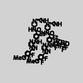 CCc1cc(Nc2nccn3c(-c4ccc(OC)c(F)c4F)cnc23)ccc1C(=O)NC1CC[N+](C)(CC2CNC2)CC1.CCc1cc(Nc2nccn3c(-c4ccc(OC)c(F)c4F)cnc23)ccc1C(=O)NC1CC[N+](C)(CC2CNC2)CC1.O=C([O-])C(F)(F)F.O=C([O-])C(F)(F)F